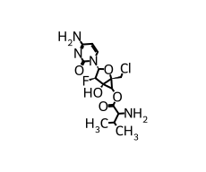 CC(C)C(N)C(=O)OC1[C@@]2(CCl)O[C@@H](n3ccc(N)nc3=O)[C@H](F)[C@@]12O